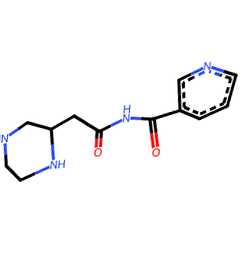 O=C(CC1CNCCN1)NC(=O)c1cccnc1